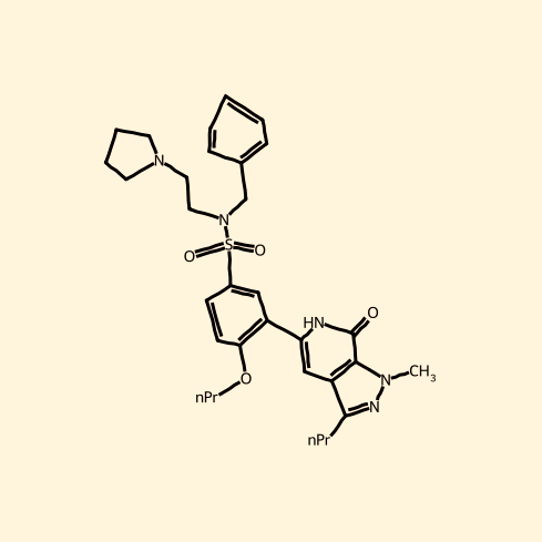 CCCOc1ccc(S(=O)(=O)N(CCN2CCCC2)Cc2ccccc2)cc1-c1cc2c(CCC)nn(C)c2c(=O)[nH]1